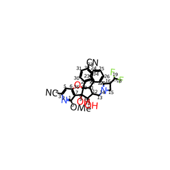 COc1nc(C#N)cc2c1C1(O)C(O)C(CN3CC(C(F)F)C3)C(c3ccccc3)C1(c1ccc(C#N)cc1)O2